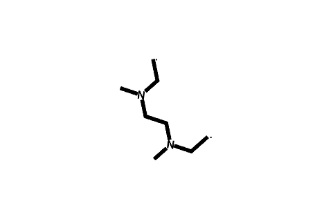 [CH2]CN(C)CCN(C)C[CH2]